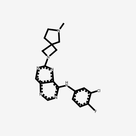 CN1CCC2(C1)CN(c1ncc3ncnc(Nc4ccc(F)c(Cl)c4)c3n1)C2